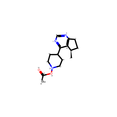 C[C@@H]1CCc2ncnc(C3CCN(OC(=O)C(C)(C)C)CC3)c21